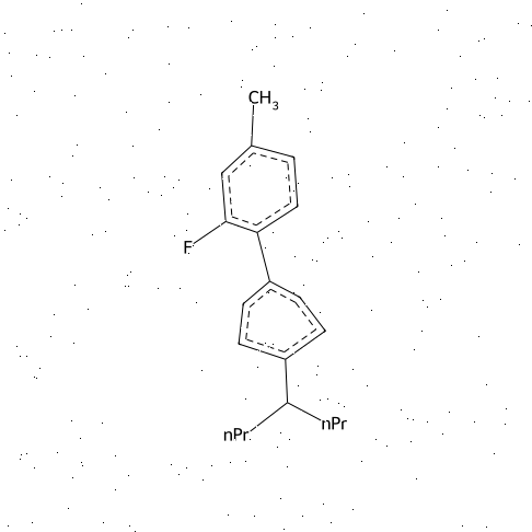 CCCC(CCC)c1ccc(-c2ccc(C)cc2F)cc1